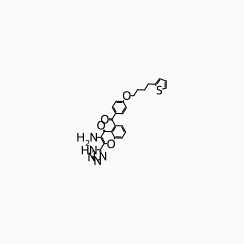 Nc1c(-c2nnn[nH]2)oc2cccc(C(=O)c3ccc(OCCCCc4cccs4)cc3)c2c1=O